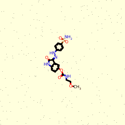 COCCNC(=O)Oc1ccc2c(c1)C(=NNc1ccc(S(N)(=O)=O)cc1)C(=O)N2